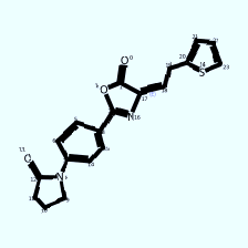 O=C1OC(c2ccc(N3CCCC3=O)cc2)=N/C1=C/Cc1cccs1